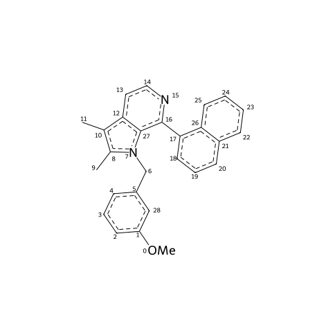 COc1cccc(Cn2c(C)c(C)c3ccnc(-c4cccc5ccccc45)c32)c1